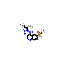 Cc1n[nH]c(Nc2ccnc3ccc(S(=O)(=O)CC(F)(F)F)cc23)c1C